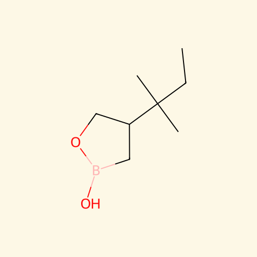 CCC(C)(C)C1COB(O)C1